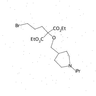 CCOC(=O)C(CCCBr)(OCC1CCN(C(C)C)CC1)C(=O)OCC